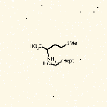 CCCCCCCCO.CSCCC(N)C(=O)O